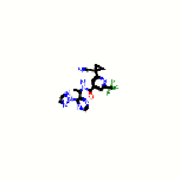 CC(NC(=O)c1cc(C(F)(F)F)nc(C2(C#N)CC2)c1)c1nccnc1-n1nccn1